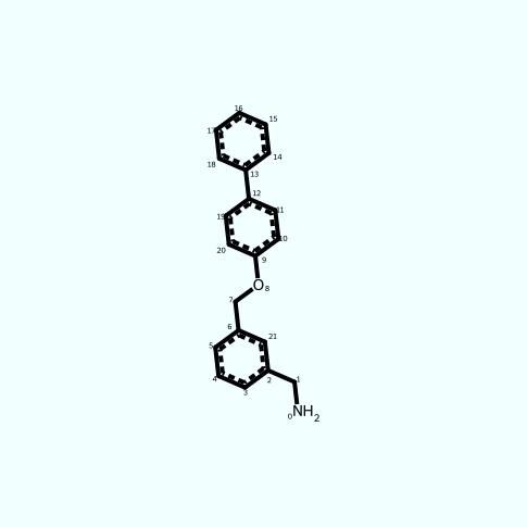 NCc1cccc(COc2ccc(-c3ccccc3)cc2)c1